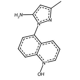 Cc1cc(N)n(-c2cccc3c2ccc[n+]3O)n1